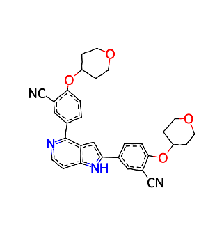 N#Cc1cc(-c2cc3c(-c4ccc(OC5CCOCC5)c(C#N)c4)nccc3[nH]2)ccc1OC1CCOCC1